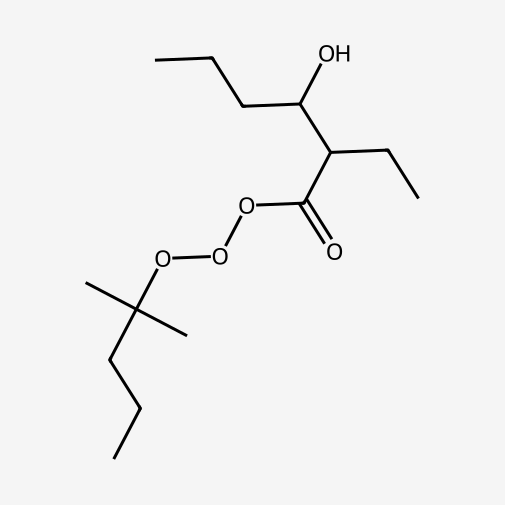 CCCC(O)C(CC)C(=O)OOOC(C)(C)CCC